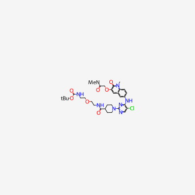 CNC(=O)COc1cc2cc(Nc3nc(N4CCC(C(=O)NCCOCCNC(=O)OC(C)(C)C)CC4)ncc3Cl)ccc2n(C)c1=O